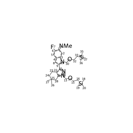 CNc1cc2c(cc1F)cc(-c1nn(COCC[Si](C)(C)C)c3c1CCC(C)(C)C3)n2COCC[Si](C)(C)C